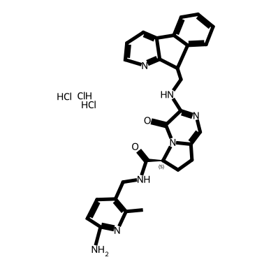 Cc1nc(N)ccc1CNC(=O)[C@@H]1CCc2cnc(NCC3c4ccccc4-c4cccnc43)c(=O)n21.Cl.Cl.Cl